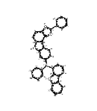 c1ccc(-c2nc3c(ccc4oc5cc(N(c6ccccc6)c6cccc7c6oc6ccccc67)ccc5c43)o2)cc1